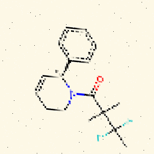 CC(F)(F)C(C)(C)C(=O)N1CCC=C[C@H]1c1ccccc1